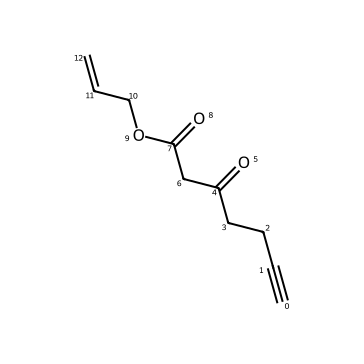 C#CCCC(=O)CC(=O)OCC=C